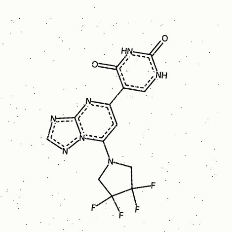 O=c1[nH]cc(-c2cc(N3CC(F)(F)C(F)(F)C3)n3ncnc3n2)c(=O)[nH]1